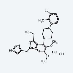 CCc1nn(Cc2c[nH]cn2)c2cc(OC)c(OC)c(N3CCN(c4cccc(Cl)c4C)CC3)c12.Cl.Cl